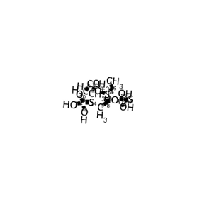 CC.CC.CC[S+]([O-])CC.OP(O)(O)=S.OP(O)(O)=S